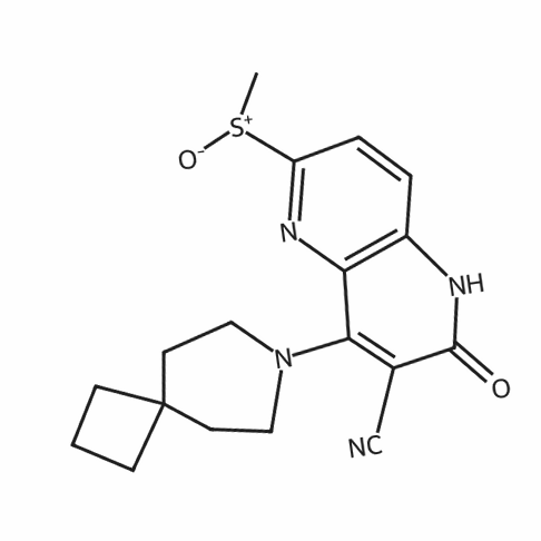 C[S+]([O-])c1ccc2[nH]c(=O)c(C#N)c(N3CCC4(CCC4)CC3)c2n1